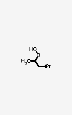 C=C(CC(C)C)OO